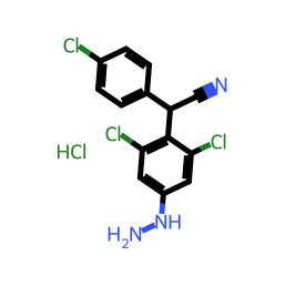 Cl.N#CC(c1ccc(Cl)cc1)c1c(Cl)cc(NN)cc1Cl